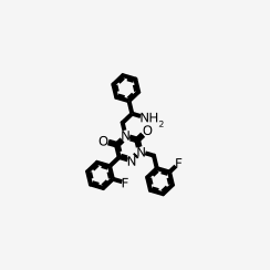 NC(Cn1c(=O)c(-c2ccccc2F)nn(Cc2ccccc2F)c1=O)c1ccccc1